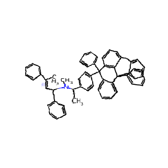 C/C(=C\C(c1ccccc1)N(C)C(C)c1ccc(C2(c3ccccc3)c3ccccc3C3(c4ccccc4)c4ccccc4-c4cccc2c43)cc1)c1ccccc1